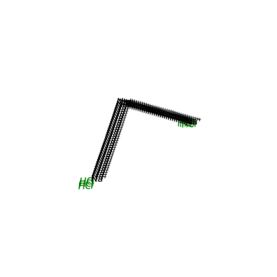 Cl.Cl.Cl.Cl.Cl.Cl.[Na+].[Na+].[Na+].[Na+].[Na+].[Na+].[Na+].[Na+].[Na+].[Na+].[Na+].[Na+].[Na+].[Na+].[Na+].[Na+].[Na+].[Na+].[Na+].[Na+].[Na+].[Na+].[Na+].[Na+].[Na+].[Na+].[Na+].[Na+].[Na+].[Na+].[Na+].[Na+].[Na+].[Na+].[Na+].[Na+].[Na+].[Na+].[Na+].[Na+].[Na+].[Na+].[Na+].[Na+].[Na+].[Na+].[Na+].[Na+].[Na+].[Na+].[Na+].[Na+].[Na+].[Na+].[Na+].[Na+].[Na+].[Na+].[Na+].[Na+].[Na+].[Na+].[Na+].[Na+].[Na+].[Na+].[Na+].[Na+].[Na+]